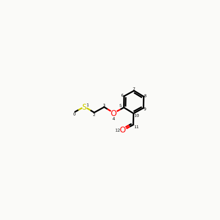 CSCCOc1ccccc1C=O